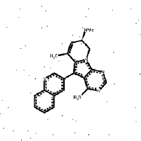 CN[C@@H]1C=C(C)c2c(-c3cnc4ccccc4c3)c3c(N)ncnc3n2C1